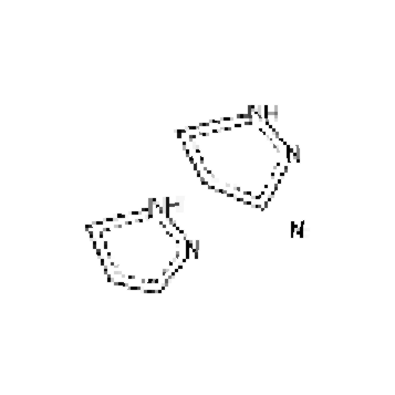 [N].c1cn[nH]c1.c1cn[nH]c1